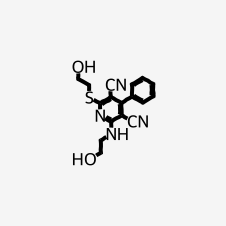 N#Cc1c(NCCO)nc(SCCO)c(C#N)c1-c1ccccc1